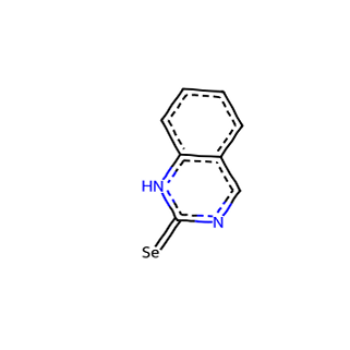 [Se]=c1ncc2ccccc2[nH]1